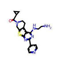 NCCNc1nc(-c2ccncc2)nc2sc3c(c12)CCN(C(=O)C1CC1)C3